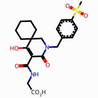 CS(=O)(=O)c1ccc(CN2CC3(CCCCC3)C(O)=C(C(=O)NCC(=O)O)C2=O)cc1